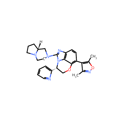 Cc1noc(C)c1-c1ccc2nc(N3CCN4CCC[C@@H]4C3)n3c2c1OC[C@@H]3c1ccccn1